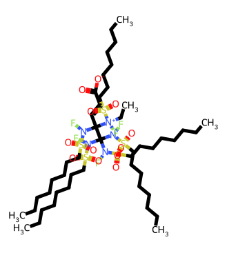 CCCCCCCCS(=O)(=O)N(F)C(N(F)S(=O)(=O)CCCCCCCC)(N(F)S(=O)(=O)CCCCCCCC)C(C=CC(=O)[O-])(N(F)S(=O)(=O)CCCCCCCC)[N+](F)(CC)S(=O)(=O)CCCCCCCC